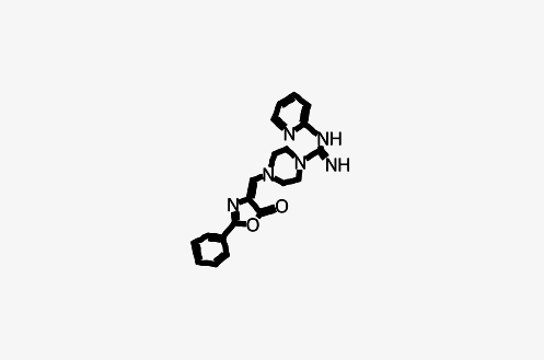 N=C(Nc1ccccn1)N1CCN(/C=C2/N=C(c3ccccc3)OC2=O)CC1